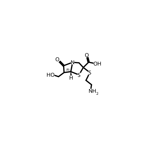 NCCSC1(C(=O)O)CN2C(=O)C(CO)[C@H]2S1